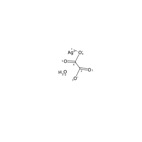 O.O=C([O-])C(=O)[O-].[Ag+2]